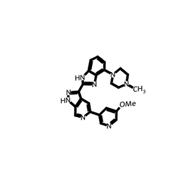 COc1cncc(-c2cc3c(-c4nc5c(N6CCN(C)CC6)cccc5[nH]4)n[nH]c3cn2)c1